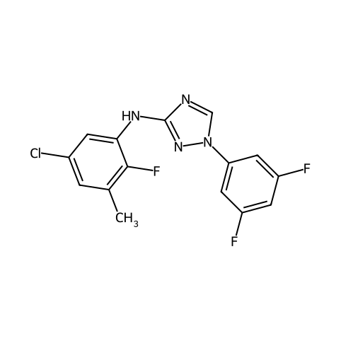 Cc1cc(Cl)cc(Nc2ncn(-c3cc(F)cc(F)c3)n2)c1F